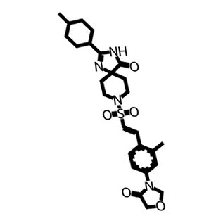 Cc1cc(N2COCC2=O)ccc1/C=C/S(=O)(=O)N1CCC2(CC1)N=C(C1CCC(C)CC1)NC2=O